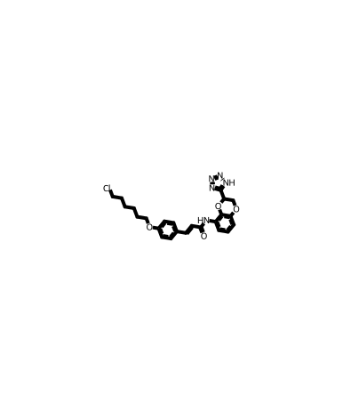 O=C(C=Cc1ccc(OCCCCCCCl)cc1)Nc1cccc2c1OC(c1nnn[nH]1)CO2